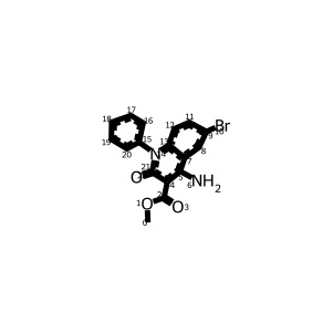 COC(=O)c1c(N)c2cc(Br)ccc2n(-c2ccccc2)c1=O